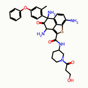 Cc1cc(Oc2ccccc2)ccc1C1(N)C(=O)C(N)c2c(C(=O)NC3CCCN(C(=O)CCO)C3)sc3c(N)ccc1c23